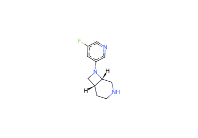 Fc1cncc(N2C[C@H]3CCNC[C@H]32)c1